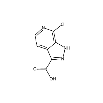 O=C(O)c1n[nH]c2c(Cl)ncnc12